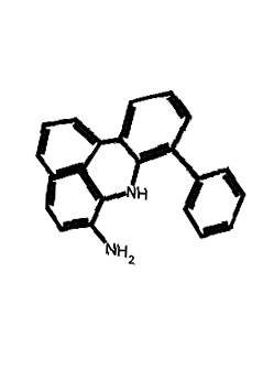 Nc1ccccc1Nc1c(-c2ccccc2)cccc1-c1ccccc1